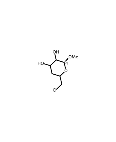 CO[C@H]1OC(CCl)CC(O)C1O